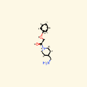 NCC1CCN(C(=O)COc2ccccc2)CC1